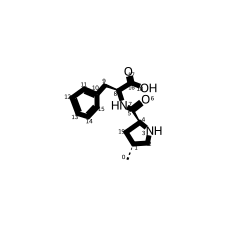 C[C@H]1CN[C@H](C(=O)N[C@@H](Cc2ccccc2)C(=O)O)C1